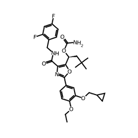 CCOc1ccc(-c2nc(C(=O)NCc3ccc(F)cc3F)c([C@H](CC(C)(C)C)OC(N)=O)o2)cc1OCC1CC1